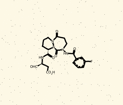 O=C[C@H](CC(=O)O)NC(=O)[C@@H]1CCCN2C(=O)CCN(NC(=O)c3cccc(F)c3)C(=O)N12